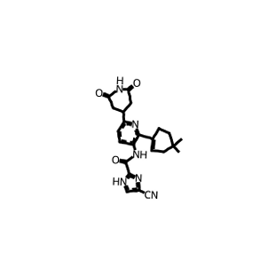 CC1(C)CC=C(c2nc(C3CC(=O)NC(=O)C3)ccc2NC(=O)c2nc(C#N)c[nH]2)CC1